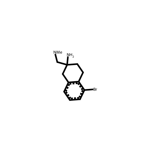 CNCC1(N)CCc2c(Br)cccc2C1